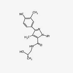 Cc1cc(-c2nn(C(C)C)c(C(=O)NC[C@@H](C)O)c2C)ccc1C#N